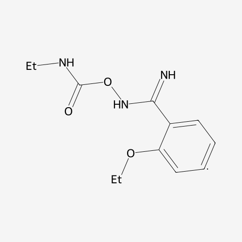 CCNC(=O)ONC(=N)c1cc[c]cc1OCC